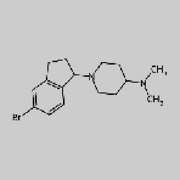 CN(C)C1CCN(C2CCc3cc(Br)ccc32)CC1